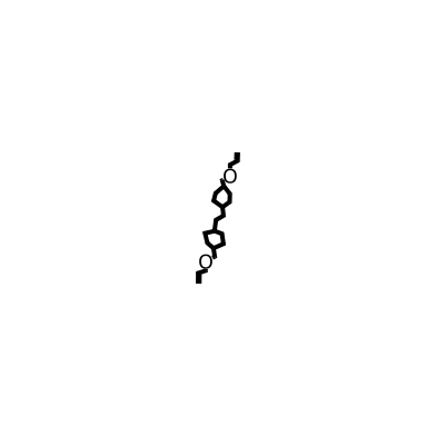 C=CCOCC1CCC(CCC2CCC(COCC=C)CC2)CC1